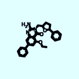 CCOc1cc(-c2ccccc2)cc2nc(N)n(CC3CCC(c4ccccc4)O3)c(=O)c12